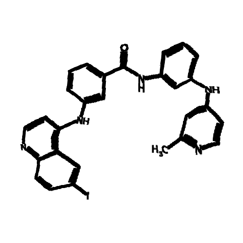 Cc1cc(Nc2cccc(NC(=O)c3cccc(Nc4ccnc5ccc(I)cc45)c3)c2)ccn1